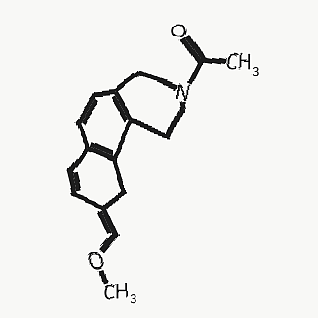 COC=C1C=Cc2ccc3c(c2C1)CCN(C(C)=O)C3